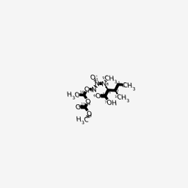 CC[C@@H](C)[C@@H](C(=O)O)N(C)/[N+]([O-])=N/OC(C)OC(=O)OC